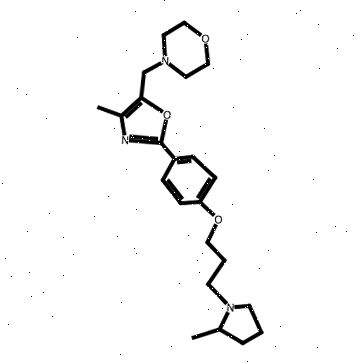 Cc1nc(-c2ccc(OCCCN3CCCC3C)cc2)oc1CN1CCOCC1